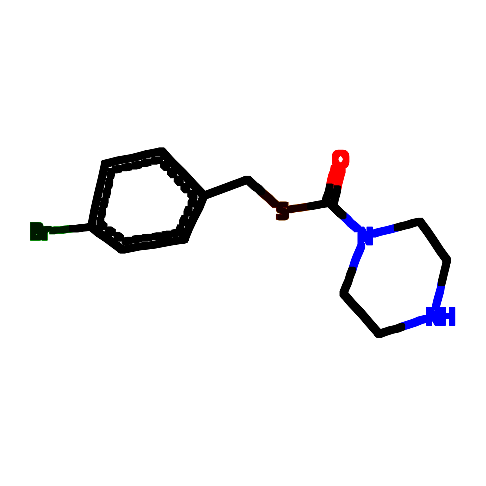 O=C(SCc1ccc(Br)cc1)N1CCNCC1